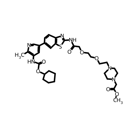 COC(=O)CN1CCN(CCOCCOCC(=O)Nc2nc3ccc(-c4cnc(C)c(NC(=O)OC5CCCCC5)c4)cc3s2)CC1